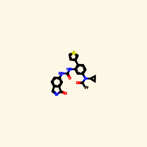 CC(C)C(=O)N(c1ccc(-c2ccsc2)c(NC(=O)Nc2ccc3c(c2)C(=O)N=C3)c1)C1CC1